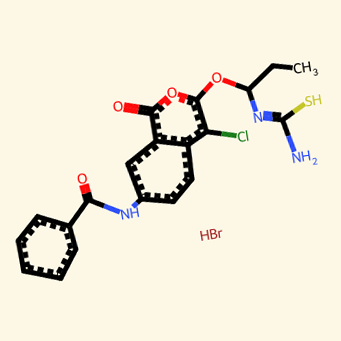 Br.CCC(N=C(N)S)Oc1oc(=O)c2cc(NC(=O)c3ccccc3)ccc2c1Cl